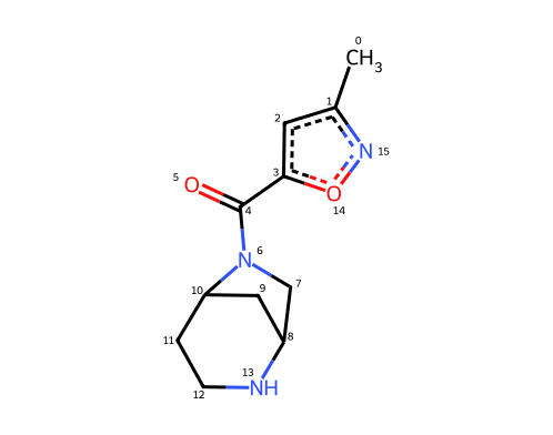 Cc1cc(C(=O)N2CC3CC2CCN3)on1